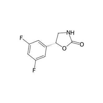 O=C1NC[C@@H](c2cc(F)cc(F)c2)O1